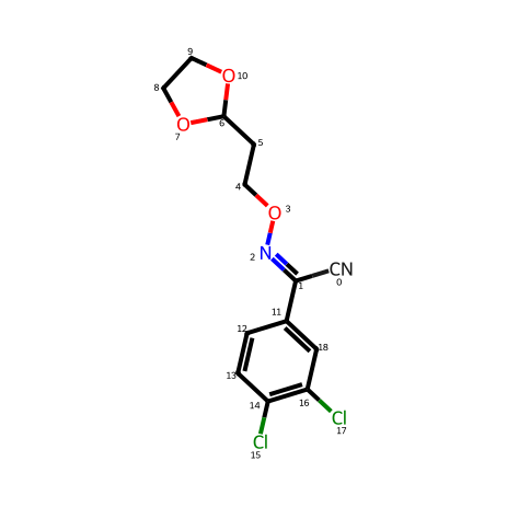 N#CC(=NOCCC1OCCO1)c1ccc(Cl)c(Cl)c1